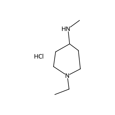 CCN1CCC(NC)CC1.Cl